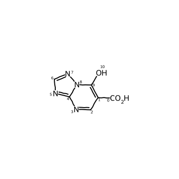 O=C(O)c1cnc2ncnn2c1O